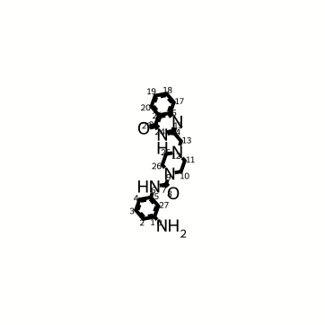 Nc1cccc(NC(=O)N2CCN(Cc3nc4ccccc4c(=O)[nH]3)CC2)c1